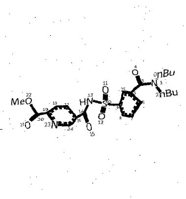 CCCCN(CCCC)C(=O)c1cccc(S(=O)(=O)NC(=O)c2ccc(C(=O)OC)nc2)c1